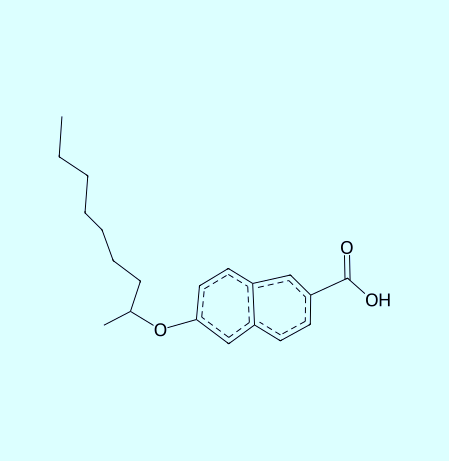 CCCCCCCC(C)Oc1ccc2cc(C(=O)O)ccc2c1